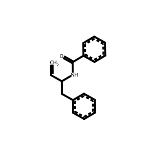 C=CC(Cc1ccccc1)NC(=O)c1ccccc1